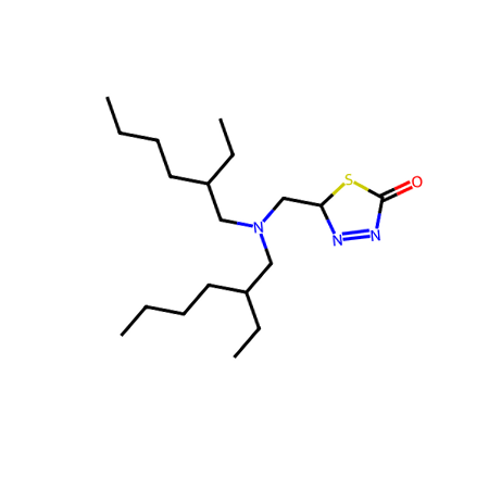 CCCCC(CC)CN(CC(CC)CCCC)CC1N=NC(=O)S1